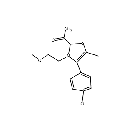 COCCN1C(c2ccc(Cl)cc2)=C(C)SC1C(N)=O